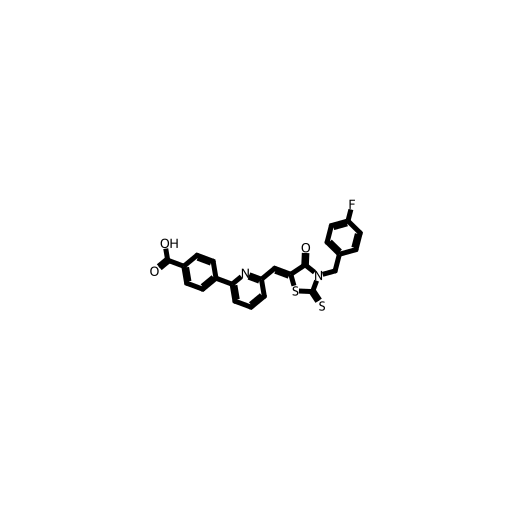 O=C(O)c1ccc(-c2cccc(/C=C3\SC(=S)N(Cc4ccc(F)cc4)C3=O)n2)cc1